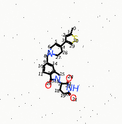 Cc1cc(C2=CCN(Cc3ccc4c(c3)CN(C3CCC(=O)NC3=O)C4=O)CC2)cs1